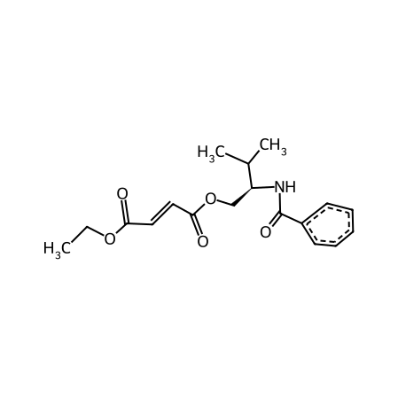 CCOC(=O)/C=C/C(=O)OC[C@H](NC(=O)c1ccccc1)C(C)C